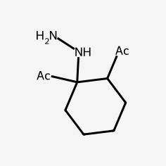 CC(=O)C1CCCCC1(NN)C(C)=O